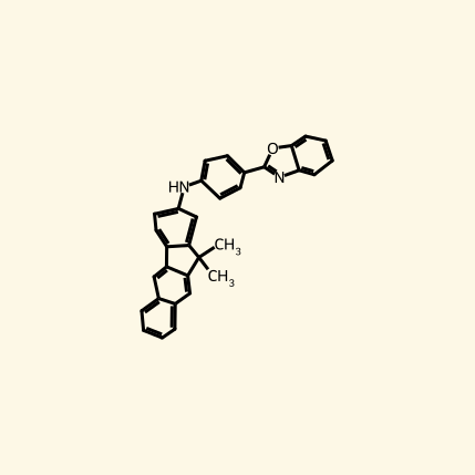 CC1(C)c2cc(Nc3ccc(-c4nc5ccccc5o4)cc3)ccc2-c2cc3ccccc3cc21